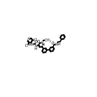 CCn1nc(-c2cccc(-c3cccc(C(=O)NCCc4ccccc4)c3)c2)cc(NC(=O)Nc2c(Cl)cncc2Cl)c1=O